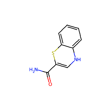 NC(=O)C1=CNc2ccccc2S1